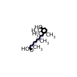 CC1=C(/C=C/C(C)=C/C=C/C(C)=C/C(=O)O)C(C)(C)C(O)CC1